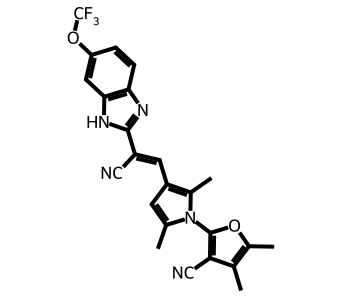 Cc1oc(-n2c(C)cc(C=C(C#N)c3nc4ccc(OC(F)(F)F)cc4[nH]3)c2C)c(C#N)c1C